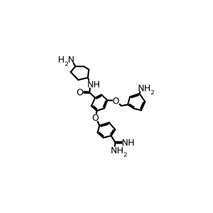 N=C(N)c1ccc(Oc2cc(OCc3cccc(N)c3)cc(C(=O)NC3CCC(N)CC3)c2)cc1